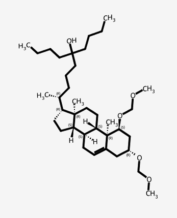 CCCCC(O)(CCCC)CCC[C@@H](C)[C@H]1CC[C@H]2[C@@H]3CC=C4C[C@@H](OCOC)C[C@H](OCOC)[C@]4(C)[C@H]3CC[C@]12C